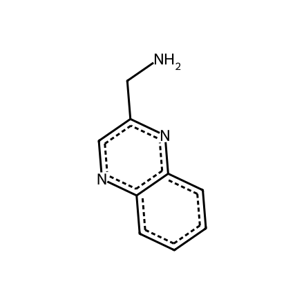 NCc1cnc2ccccc2n1